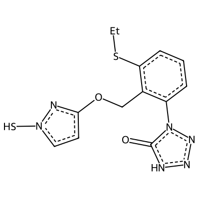 CCSc1cccc(-n2nn[nH]c2=O)c1COc1ccn(S)n1